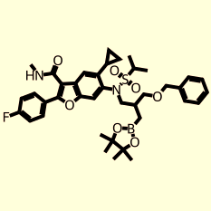 CNC(=O)c1c(-c2ccc(F)cc2)oc2cc(N(CC(COCc3ccccc3)CB3OC(C)(C)C(C)(C)O3)S(=O)(=O)C(C)C)c(C3CC3)cc12